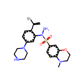 C=C(CC)c1ccc(N2CCNCC2)cc1N(N)S(=O)(=O)c1ccc2c(c1)OCCN2C